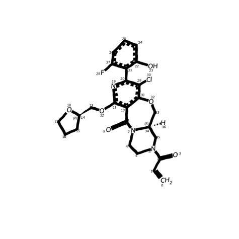 C=CC(=O)N1CCN2C(=O)c3c(OC[C@H]4CCCO4)nc(-c4c(O)cccc4F)c(Cl)c3OC[C@H]2C1